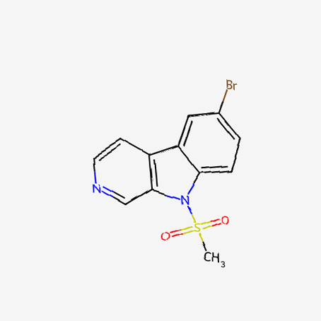 CS(=O)(=O)n1c2ccc(Br)cc2c2ccncc21